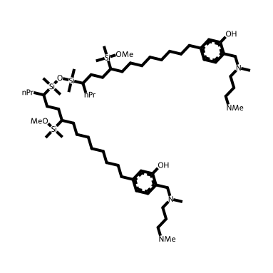 CCCC(CCC(CCCCCCCCc1ccc(CN(C)CCCNC)c(O)c1)[Si](C)(C)OC)[Si](C)(C)O[Si](C)(C)C(CCC)CCC(CCCCCCCCc1ccc(CN(C)CCCNC)c(O)c1)[Si](C)(C)OC